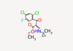 CCOC(=O)C(=CNC1(C)CC1)C(=O)c1cc(F)c(Cl)cc1Cl